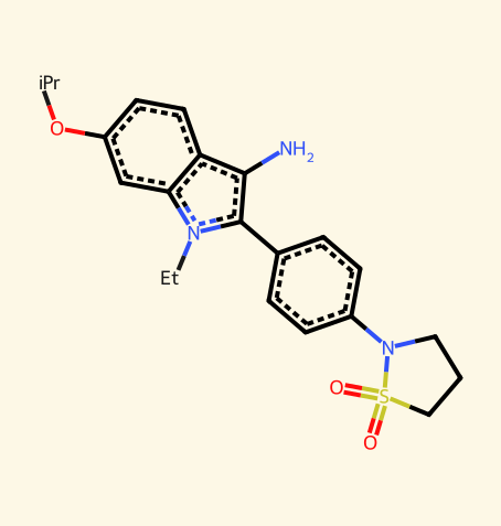 CCn1c(-c2ccc(N3CCCS3(=O)=O)cc2)c(N)c2ccc(OC(C)C)cc21